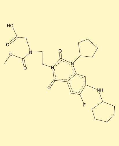 COC(=O)N(CCn1c(=O)c2cc(F)c(NC3CCCCC3)cc2n(C2CCCC2)c1=O)CC(=O)O